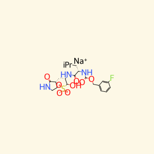 CC(C)C[C@H](NC(=O)OCc1cccc(F)c1)C(=O)N[C@@H](C[C@@H]1CCNC1=O)C(O)S(=O)(=O)[O-].[Na+]